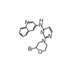 BrC1CN(c2nccc(Nc3cnc4ccccc4c3)n2)CCO1